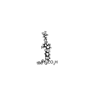 CC(C)(C)OC(=O)N[C@@H](Cc1ccc(Oc2ccnc3c2c(F)cn3COCC[Si](C)(C)C)cc1)C(=O)O